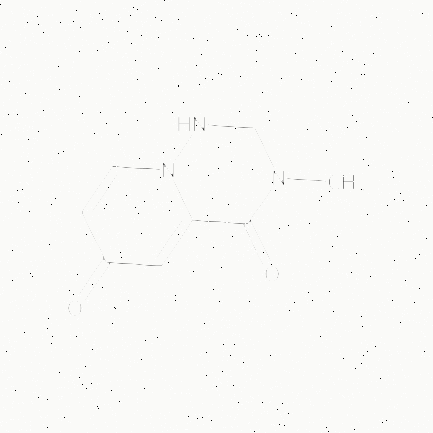 CN1CNn2ccc(=O)cc2C1=O